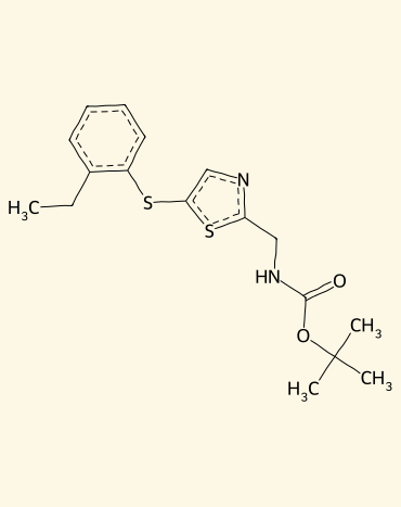 CCc1ccccc1Sc1cnc(CNC(=O)OC(C)(C)C)s1